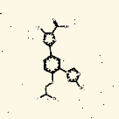 Cc1ncn(-c2cc(-c3nc(C)c(C(=O)O)s3)ccc2OCC(C)C)n1